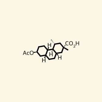 CC(=O)O[C@H]1CC[C@H]2[C@H](CC[C@H]3C[C@@](C)(C(=O)O)C[C@@H](C)[C@@H]32)C1